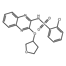 O=S(=O)(Nc1nc2ccccc2nc1OC1CCOC1)c1ccccc1Cl